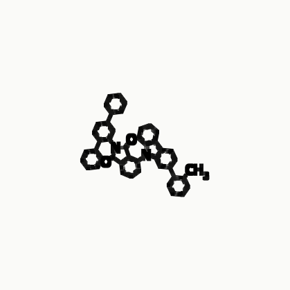 Cc1ccccc1-c1ccc2c3ccccc3n(-c3cccc4c3C(=O)N(c3cc(-c5ccccc5)ccc3-c3ccccc3)C4=O)c2c1